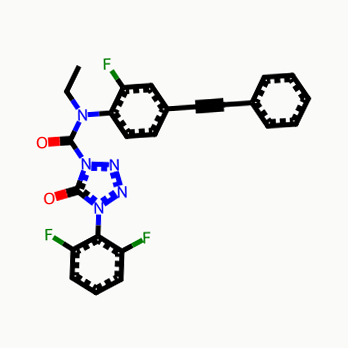 CCN(C(=O)n1nnn(-c2c(F)cccc2F)c1=O)c1ccc(C#Cc2ccccc2)cc1F